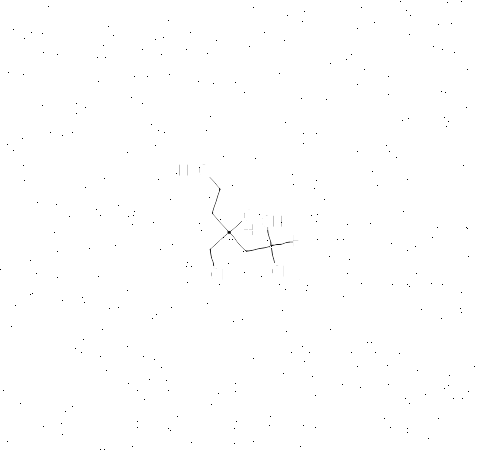 CCCC(C)(CC)CC(C)(C)F